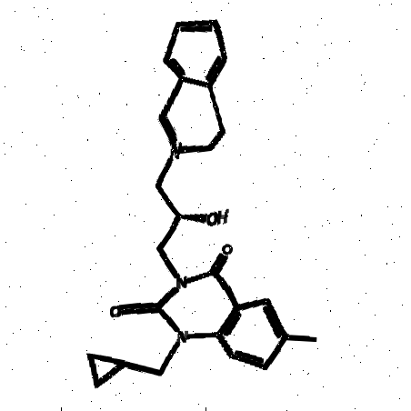 Cc1ccc2c(c1)c(=O)n(C[C@H](O)CN1CCc3ccccc3C1)c(=O)n2CC1CC1